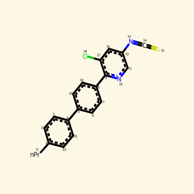 CCCc1ccc(-c2ccc(-c3ncc(N=C=S)cc3Cl)cc2)cc1